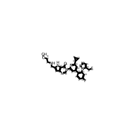 COCCNCc1cc2ncn(-c3cc(-c4ccc(F)cc4-n4nncc4CF)cc(C4CC4)n3)c(=O)c2[nH]1